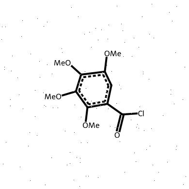 COc1cc(C(=O)Cl)c(OC)c(OC)c1OC